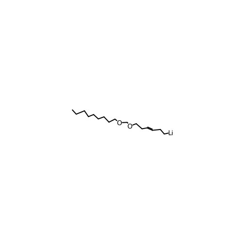 [Li][CH2]C/C=C/CCOCOCCCCCCCCC